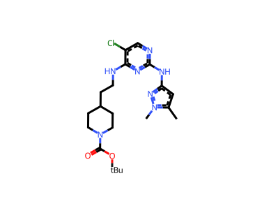 Cc1cc(Nc2ncc(Cl)c(NCCC3CCN(C(=O)OC(C)(C)C)CC3)n2)nn1C